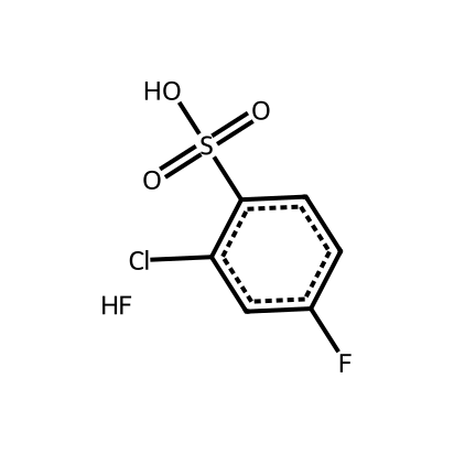 F.O=S(=O)(O)c1ccc(F)cc1Cl